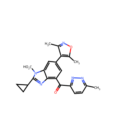 Cc1ccc(C(=O)c2cc(-c3c(C)noc3C)cc3c2nc(C2CC2)n3C(=O)O)nn1